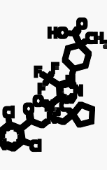 CC1(CN(CC(=O)c2c(Cl)cncc2Cl)C(=O)c2cnn(C3CCC(C)(C(=O)O)CC3)c2C(F)(F)F)CCCC1